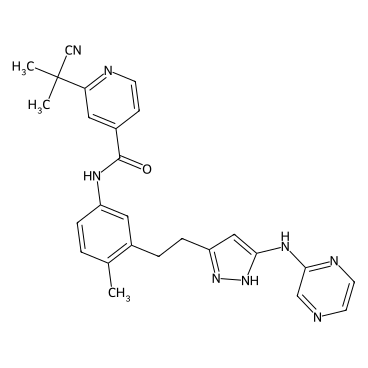 Cc1ccc(NC(=O)c2ccnc(C(C)(C)C#N)c2)cc1CCc1cc(Nc2cnccn2)[nH]n1